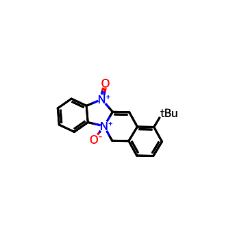 CC(C)(C)c1cccc2c1C=C1[N+](=O)c3ccccc3[N+]1([O-])C2